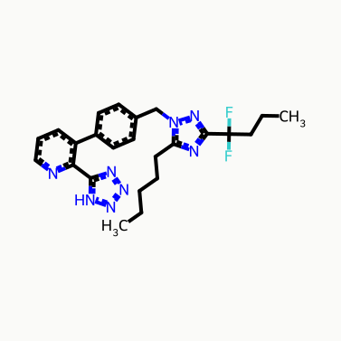 CCCCCc1nc(C(F)(F)CCC)nn1Cc1ccc(-c2cccnc2-c2nnn[nH]2)cc1